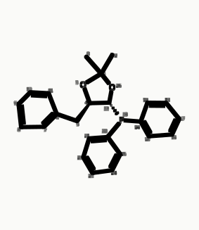 CC1(C)O[C@H](Cc2ccccc2)[C@@H](P(c2ccccc2)c2ccccc2)O1